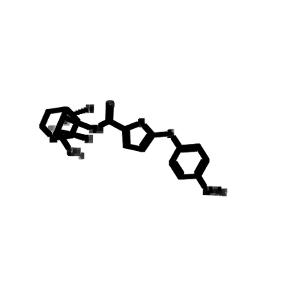 CC(=O)Nc1ccc(Sc2ccc(C(=O)N[C@@H]3C4CCN(CC4)[C@H]3C)s2)cc1